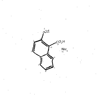 CCCCCCCCc1ccc2ccccc2c1C(=O)O.N